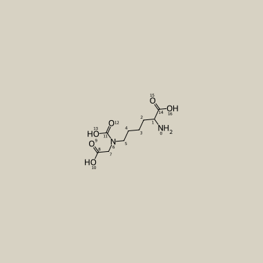 NC(CCCCN(CC(=O)O)C(=O)O)C(=O)O